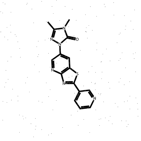 Cc1nn(-c2cnc3nc(-c4cccnc4)sc3c2)c(=O)n1C